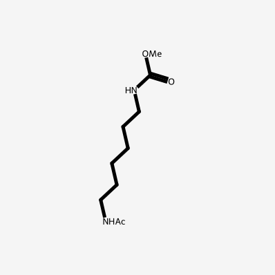 COC(=O)NCCCCCCNC(C)=O